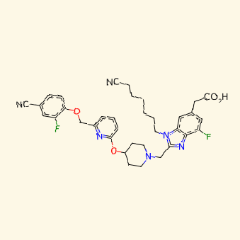 N#CCCCCCCn1c(CN2CCC(Oc3cccc(COc4ccc(C#N)cc4F)n3)CC2)nc2c(F)cc(CC(=O)O)cc21